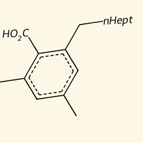 CCCCCCCCc1cc(C)cc(C)c1C(=O)O